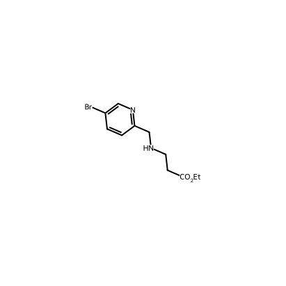 CCOC(=O)CCNCc1ccc(Br)cn1